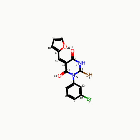 O=C1NC(S)N(c2cccc(Br)c2)C(=O)C1=Cc1ccco1